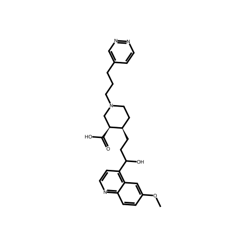 COc1ccc2nccc(C(O)CC[C@@H]3CCN(CCCc4ccnnc4)C[C@@H]3C(=O)O)c2c1